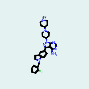 CC(C)N1CCC(N2CCC(n3nc(-c4ccc5c(ccn5Cc5ccccc5Cl)c4)c4c(N)ncnc43)CC2)CC1